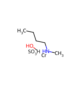 CCCCNC.O=S(=O)(O)O.[Cr]